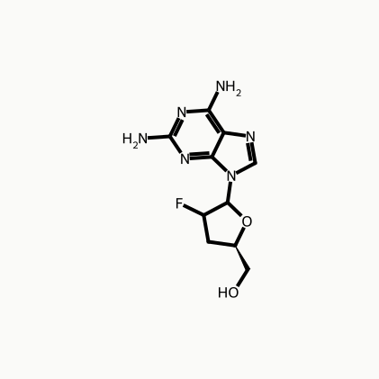 Nc1nc(N)c2ncn(C3O[C@@H](CO)CC3F)c2n1